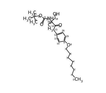 CCCCCCCCOc1ccc(CC(=O)[C@](C)(CO)NC(=O)OC(C)(C)C)cc1